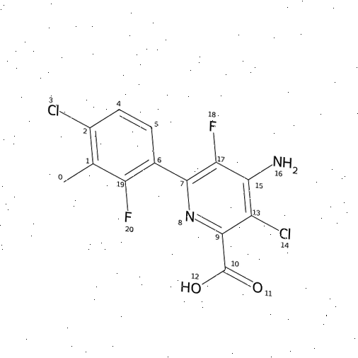 Cc1c(Cl)ccc(-c2nc(C(=O)O)c(Cl)c(N)c2F)c1F